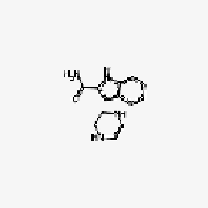 C1=CNCCN1.NC(=O)c1cc2ccccc2[nH]1